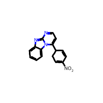 O=[N+]([O-])C1=CCC(c2ccnc3nc4ccccc4n23)C=C1